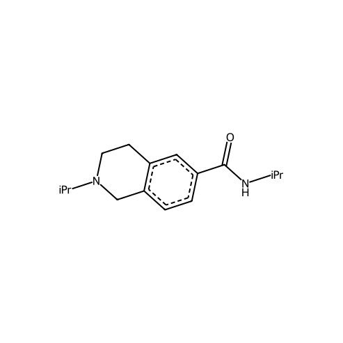 CC(C)NC(=O)c1ccc2c(c1)CCN(C(C)C)C2